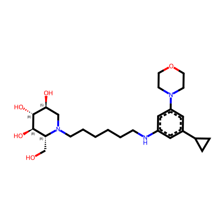 OC[C@@H]1[C@@H](O)[C@H](O)[C@@H](O)CN1CCCCCCNc1cc(C2CC2)cc(N2CCOCC2)c1